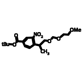 COCCOCOCC(C)c1ccc(C(=O)OC(C)(C)C)cc1[N+](=O)[O-]